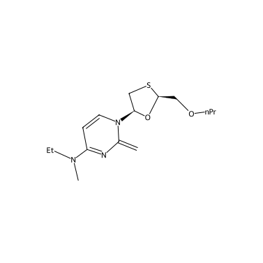 C=C1N=C(N(C)CC)C=CN1[C@H]1CS[C@@H](COCCC)O1